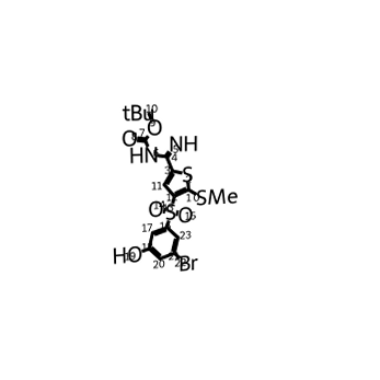 CSc1sc(C(=N)NC(=O)OC(C)(C)C)cc1S(=O)(=O)c1cc(O)cc(Br)c1